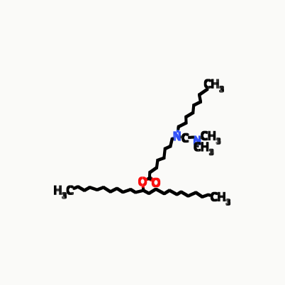 CCCCCCCCCCCC(CCCCCCCCCCC)OC(=O)CCCCCCCN(CCCCCCCCC)CCN(C)C